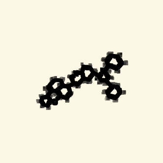 C1=CC2N=CC(c3ccc4c5c3CCC=C5c3ccccc3O4)=CC2C=C1c1cc(-c2ccccc2)cc(-c2ccccc2)n1